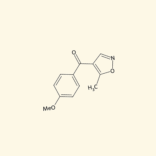 COc1ccc(C(=O)c2cnoc2C)cc1